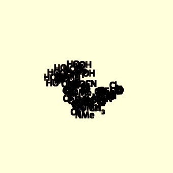 CNC(=O)/C(=N/OC)c1ccccc1COc1cc(C)ccc1C.CO/C=C(/C(=O)OC)c1ccccc1Oc1cc(Oc2ccccc2C#N)ncn1.CO/N=C(/C1=NOCCO1)c1ccccc1Oc1ncnc(Oc2ccccc2Cl)c1F.OCC1=C[C@H](N[C@H]2C[C@H](CO)[C@@H](O[C@@H]3O[C@H](CO)[C@@H](O)[C@H](O)[C@H]3O)[C@H](O)[C@H]2O)[C@H](O)[C@@H](O)[C@H]1O